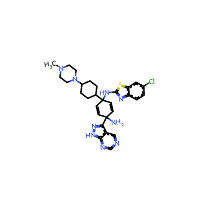 CN1CCN(C2CCC(C3(Nc4nc5ccc(Cl)cc5s4)C=CC(N)(c4n[nH]c5ncncc45)C=C3)CC2)CC1